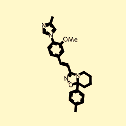 COc1cc(/C=C/C2=NOC3(c4ccc(C)cc4)CCCCN23)ccc1-n1cnc(C)c1